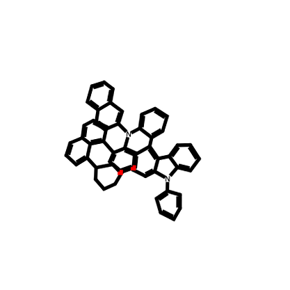 c1ccc(-n2c3ccccc3c3c(-c4ccccc4N(c4ccc5ccccc5c4)c4ccccc4-c4cccc5cccc(C6CCCCC6)c45)cccc32)cc1